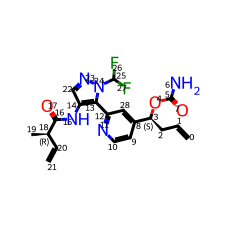 C=CC[C@H](OC(N)=O)c1ccnc(-c2c(NC(=O)[C@H](C)C=C)cnn2C(F)F)c1